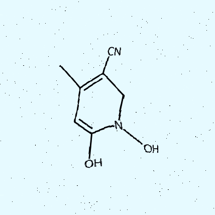 CC1=C(C#N)CN(O)C(O)=C1